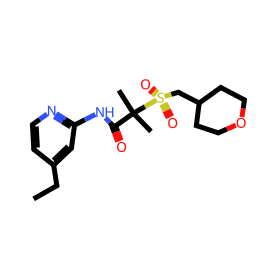 CCc1ccnc(NC(=O)C(C)(C)S(=O)(=O)CC2CCOCC2)c1